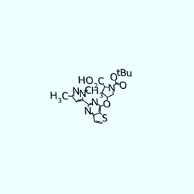 Cc1cc(-c2nc(OC3CC(C(=O)O)N(C(=O)OC(C)(C)C)C3)c3sccc3n2)n(C)n1